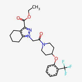 CCOC(=O)c1nn(CC(=O)N2CCC(Oc3ccccc3C(F)(F)F)CC2)c2c1CCCC2